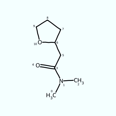 CN(C)C(=O)CC1CCCO1